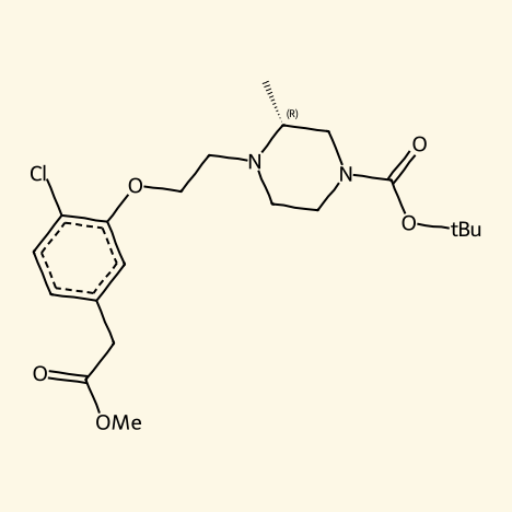 COC(=O)Cc1ccc(Cl)c(OCCN2CCN(C(=O)OC(C)(C)C)C[C@H]2C)c1